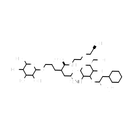 C#CCOCCNC(=O)C(C[C@@H](CC)COC1OC(C)C(O)C(O)C1O)C[C@H](C)O[C@@H]1O[C@@H](CO)C(O)C(O[C@@H](CC2CCCCC2)C(=O)O)C1NC(C)=O